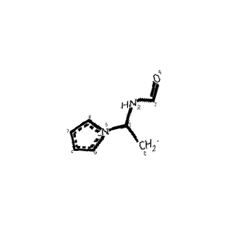 [CH2]C(NC=O)n1cccc1